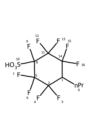 CCCC1C(F)(F)C(F)(F)C(F)(S(=O)(=O)O)C(F)(F)C1(F)F